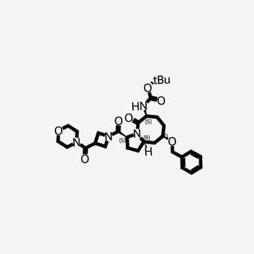 CC(C)(C)OC(=O)N[C@H]1CC[C@@H](OCc2ccccc2)C[C@H]2CC[C@@H](C(=O)N3CC(C(=O)N4CCOCC4)C3)N2C1=O